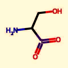 NC(CO)I(=O)=O